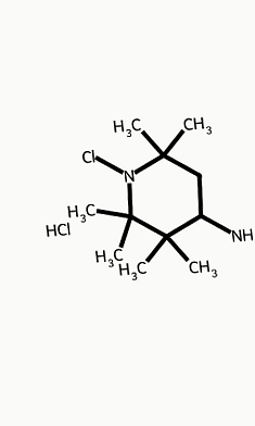 CC1(C)CC(N)C(C)(C)C(C)(C)N1Cl.Cl